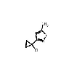 Cc1nc(C2(Cl)CC2)ns1